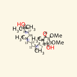 COC1=C(OC)[C@H](O)[C@H](C/C=C(\C)CC/C=C(/C)C/C=C/C(C)(C)O)[C@@H](C)C1=O